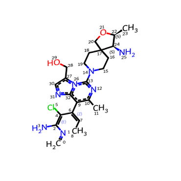 C=N/C(N)=C(Cl)\C(=C/C)c1c(C)nc(N2CCC3(CC2)CO[C@@H](C)[C@H]3N)n2c(CO)cnc12